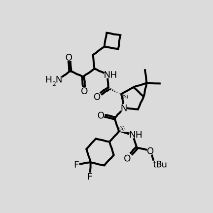 CC(C)(C)OC(=O)N[C@H](C(=O)N1CC2C([C@H]1C(=O)NC(CC1CCC1)C(=O)C(N)=O)C2(C)C)C1CCC(F)(F)CC1